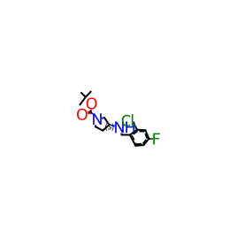 CC(C)(C)OC(=O)N1CC[C@H](NCc2ccc(F)cc2Cl)C1